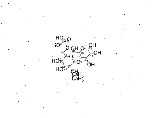 O=P(O)(O)OC[C@H]1O[C@@H](O[C@H]2[C@H](O)[C@@H](O)[C@@H](O)O[C@@H]2CO)[C@H](O)[C@@H](O)[C@H]1O.[CaH2].[CaH2]